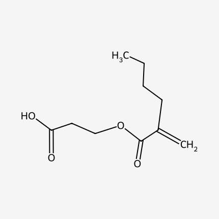 C=C(CCCC)C(=O)OCCC(=O)O